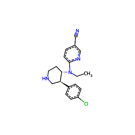 CCN(c1ccc(C#N)cn1)[C@H]1CCNC[C@@H]1c1ccc(Cl)cc1